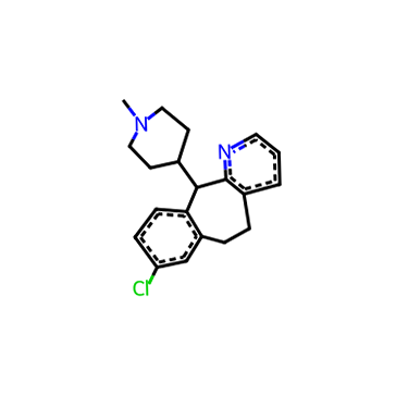 CN1CCC(C2c3ccc(Cl)cc3CCc3cccnc32)CC1